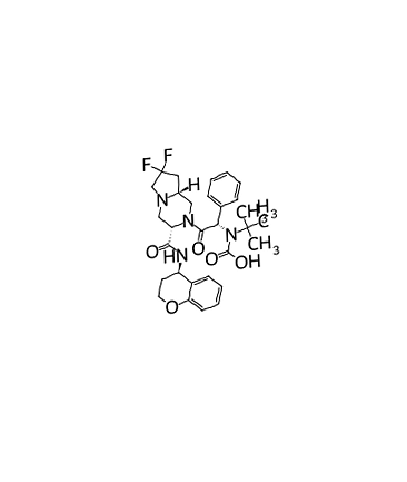 CC(C)(C)N(C(=O)O)[C@H](C(=O)N1C[C@H]2CC(F)(F)CN2C[C@H]1C(=O)N[C@@H]1CCOc2ccccc21)c1ccccc1